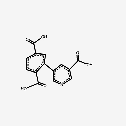 O=C(O)c1cncc(-c2cc(C(=O)O)ccc2C(=O)O)c1